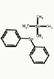 [CH3][Sn]([CH3])([CH3])[CH3].c1cc[c]([Sn][c]2ccccc2)cc1